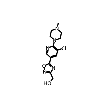 CN1CCN(c2ncc(-c3nc(CO)no3)cc2Cl)CC1